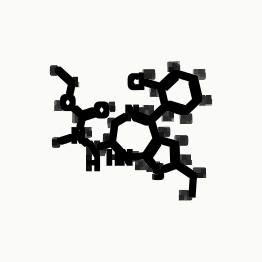 CCOC(=O)N(C)NC1CN=C(c2ccccc2Cl)c2cc(CC)sc2N1